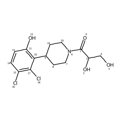 O=C(C(O)CO)N1CCC(c2c(O)ccc(Cl)c2Cl)CC1